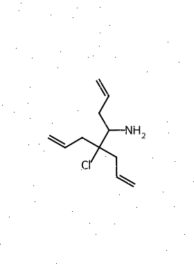 C=CCC(N)C(Cl)(CC=C)CC=C